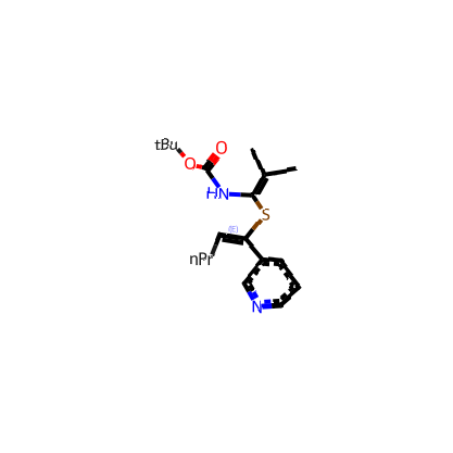 CCC/C=C(/SC(NC(=O)OC(C)(C)C)=C(C)C)c1cccnc1